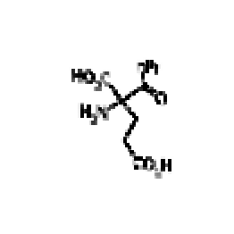 CCCC(=O)C(N)(CCC(=O)O)C(=O)O